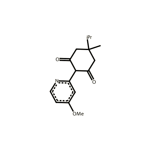 COc1ccnc(C2C(=O)CC(C)(C(C)C)CC2=O)c1